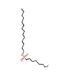 CCCCCCCCCCCCCCOS(=O)(=O)CCCCCCCF